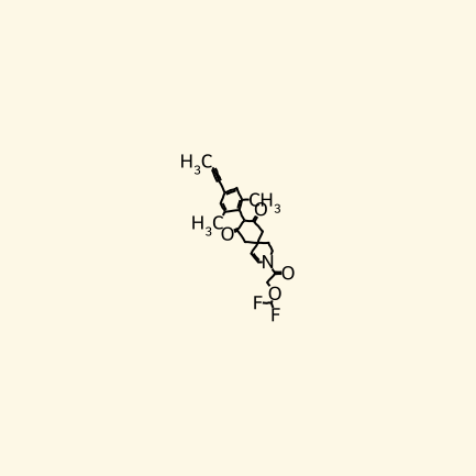 CC#Cc1cc(C)c(C2C(=O)CC3(C=CN(C(=O)COC(F)F)CC3)CC2=O)c(C)c1